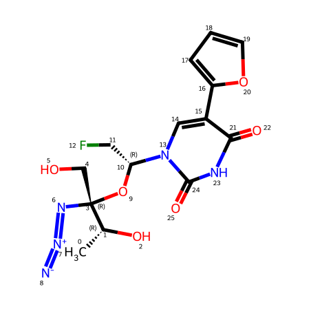 C[C@@H](O)[C@](CO)(N=[N+]=[N-])O[C@H](CF)n1cc(-c2ccco2)c(=O)[nH]c1=O